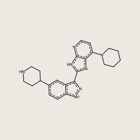 c1cc(N2CCCCC2)c2nc(-c3n[nH]c4ccc(C5CCNCC5)cc34)[nH]c2n1